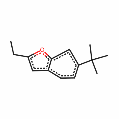 CCc1cc2ccc(C(C)(C)C)cc2o1